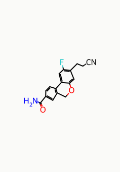 N#CCCc1cc2c(cc1F)-c1ccc(C(N)=O)cc1CO2